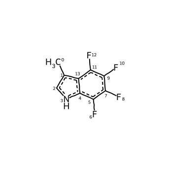 Cc1c[nH]c2c(F)c(F)c(F)c(F)c12